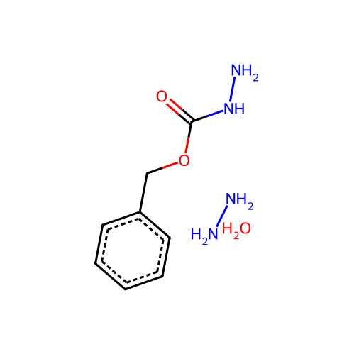 NN.NNC(=O)OCc1ccccc1.O